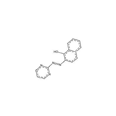 Oc1c(N=Nc2ncccn2)ccc2ccccc12